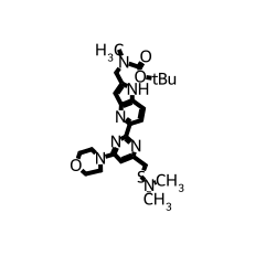 CN(C)SCc1cc(N2CCOCC2)nc(-c2ccc3[nH]c(CN(C)C(=O)OC(C)(C)C)cc3n2)n1